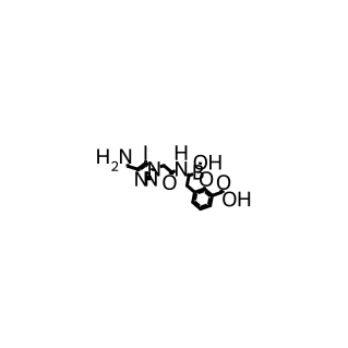 NCc1nnn(CC(=O)NC2Cc3cccc(C(=O)O)c3OB2O)c1I